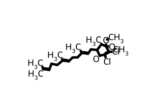 COC1(OC)C(Cl)=C(Cl)C(=O)C(C/C=C(\C)CC/C=C(\C)CCC=C(C)C)[C@H]1C